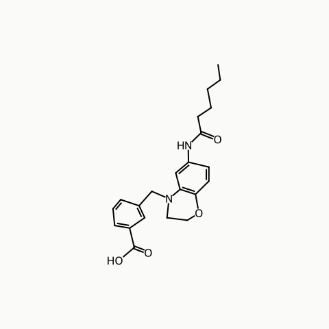 CCCCCC(=O)Nc1ccc2c(c1)N(Cc1cccc(C(=O)O)c1)CCO2